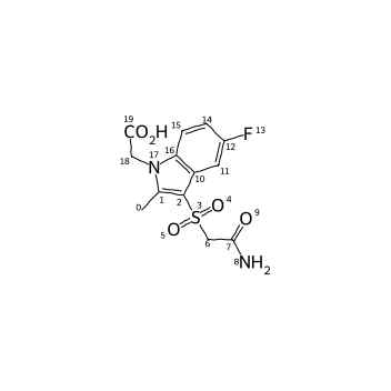 Cc1c(S(=O)(=O)CC(N)=O)c2cc(F)ccc2n1CC(=O)O